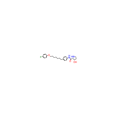 O=C(Nc1ccc(CCCCCCCOc2ccc(F)cc2)cc1)[C@H]1NCC[C@@H]1O